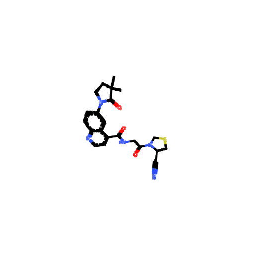 CC1(C)CCN(c2ccc3nccc(C(=O)NCC(=O)N4CSC[C@H]4C#N)c3c2)C1=O